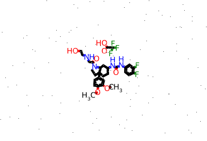 COc1ccc(C23CCC(NC(=O)Nc4ccc(F)c(F)c4)CC2N(C(=O)CNCCO)CC3)cc1OC.O=C(O)C(F)(F)F